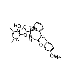 CCCCC1(C(Oc2nc(C)cc(C)n2)C(=O)O)NCC(=O)N(Cc2ccc(OC)cc2)c2ccccc21